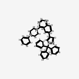 C1=CCC(C(c2ccccc2)(c2ccccc2)n2cc(-c3ccc4ncnc(N5CCN(c6ccccc6)CC5)c4c3)cn2)C=C1